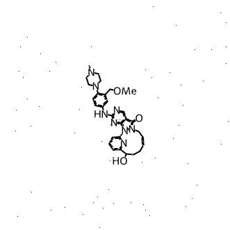 COCc1cc(Nc2ncc3c(=O)n4n(c3n2)-c2cccc(n2)C(O)CC/C=C\C4)ccc1N1CCN(C)CC1